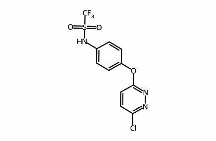 O=S(=O)(Nc1ccc(Oc2ccc(Cl)nn2)cc1)C(F)(F)F